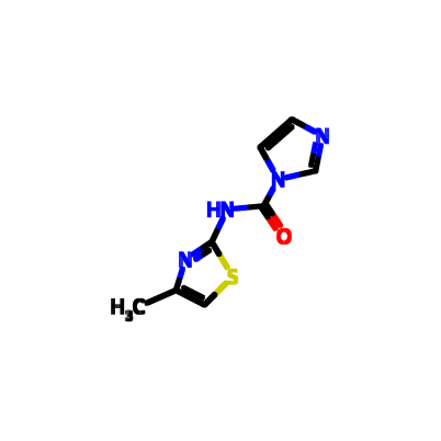 Cc1csc(NC(=O)n2ccnc2)n1